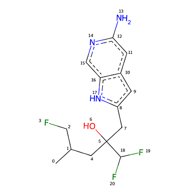 CC(CF)CC(O)(Cc1cc2cc(N)ncc2[nH]1)C(F)F